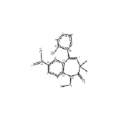 CCN1C(=O)C(C)(C)N=C(c2ccccc2Cl)c2cc([N+](=O)[O-])ccc21